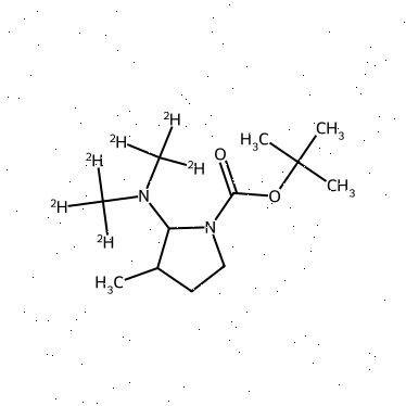 [2H]C([2H])([2H])N(C1C(C)CCN1C(=O)OC(C)(C)C)C([2H])([2H])[2H]